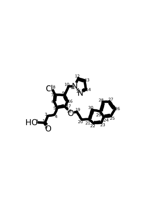 O=C(O)CCc1cc(Cl)c(Cn2cccn2)cc1OCCc1ccc2ccccc2c1